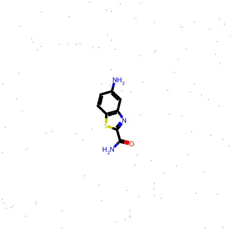 NC(=O)c1nc2cc(N)ccc2s1